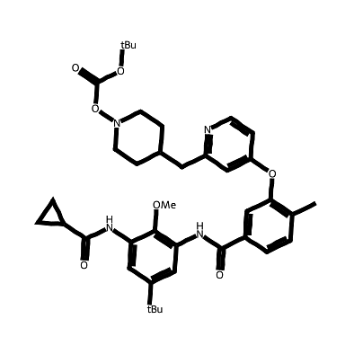 COc1c(NC(=O)c2ccc(C)c(Oc3ccnc(CC4CCN(OC(=O)OC(C)(C)C)CC4)c3)c2)cc(C(C)(C)C)cc1NC(=O)C1CC1